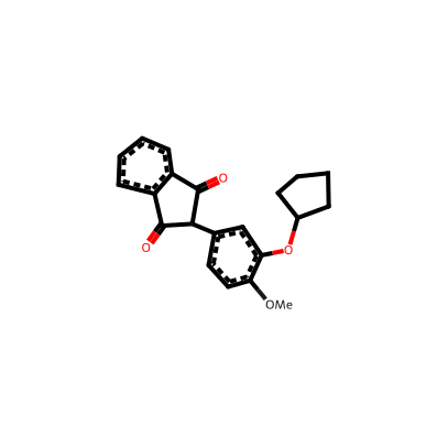 COc1ccc(C2C(=O)c3ccccc3C2=O)cc1OC1CCCC1